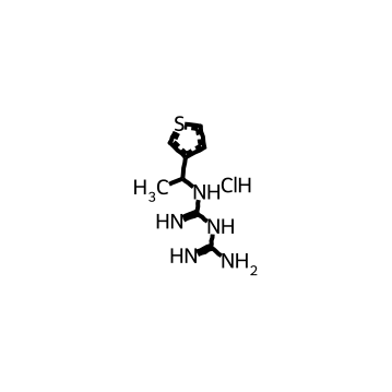 CC(NC(=N)NC(=N)N)c1ccsc1.Cl